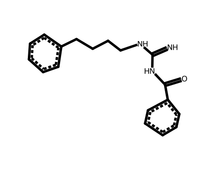 N=C(NCCCCc1ccccc1)NC(=O)c1ccccc1